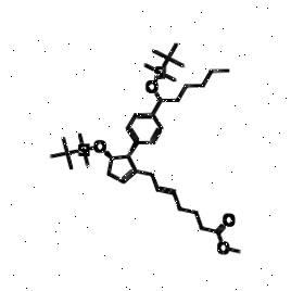 CCCCCC(O[Si](C)(C)C(C)(C)C)c1ccc([C@H]2C(CC=CCCCC(=O)OC)=CC[C@H]2O[Si](C)(C)C(C)(C)C)cc1